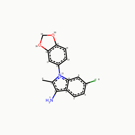 Cc1c(N)c2ccc(F)cc2n1-c1ccc2c(c1)OCO2